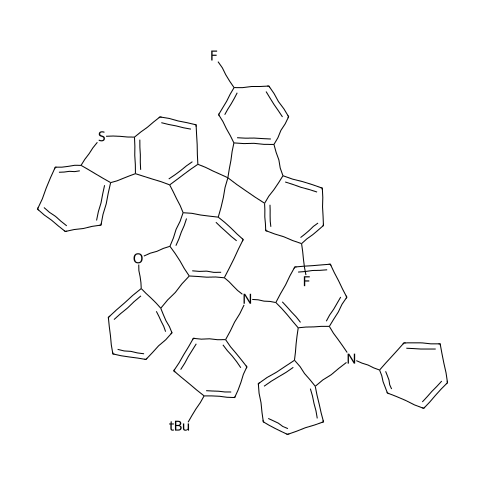 CC(C)(C)c1ccc(N(c2cc3c(c4oc5ccccc5c24)-c2c(ccc4sc5ccccc5c24)C32c3cc(F)ccc3-c3ccc(F)cc32)c2cccc3c2c2ccccc2n3-c2ccccc2)cc1